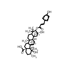 C[C@@H]1CC[C@]2(C(=O)O)CC[C@]3(C)C(=CC[C@@H]4[C@@]5(C)C[C@@H](O)[C@H](OC(=O)/C=C/c6ccc(O)cc6)C(C)(C)C5CC[C@]43C)[C@@H]2[C@]1(C)O